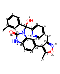 Cc1cccc(C(O)(c2ccccn2)n2c(=O)[nH]c3ccc(-c4c(C)noc4C)cc32)c1